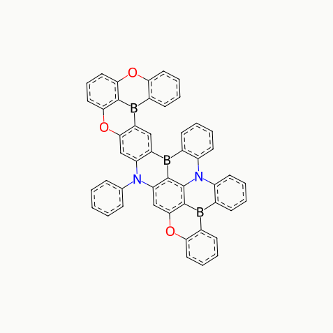 c1ccc(N2c3cc4c(cc3B3c5ccccc5N5c6ccccc6B6c7ccccc7Oc7cc2c3c5c76)B2c3ccccc3Oc3cccc(c32)O4)cc1